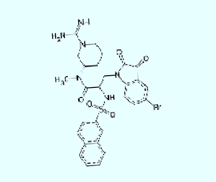 CN(C(=O)C(CN1C(=O)C(=O)c2cc(Br)ccc21)NS(=O)(=O)c1ccc2ccccc2c1)[C@H]1CCCN(C(=N)N)C1